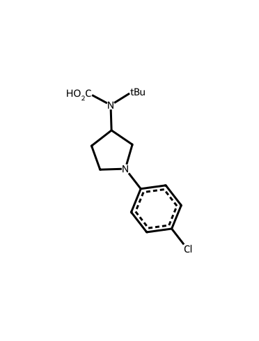 CC(C)(C)N(C(=O)O)C1CCN(c2ccc(Cl)cc2)C1